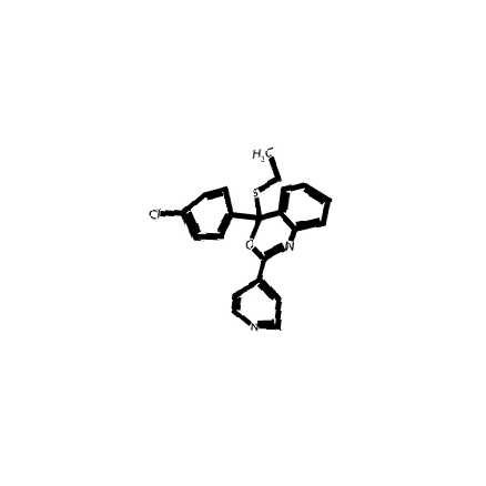 CCSC1(c2ccc(Cl)cc2)OC(c2ccncc2)=Nc2ccccc21